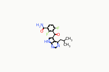 CC(C)Cc1ncnc2[nH]cc(C(=O)c3c(F)ccc(C(N)=O)c3F)c12